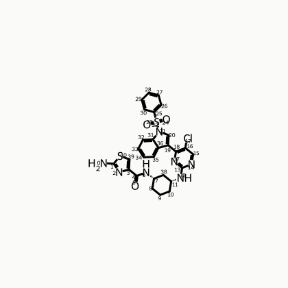 Nc1nc(C(=O)N[C@H]2CCC[C@@H](Nc3ncc(Cl)c(-c4cn(S(=O)(=O)c5ccccc5)c5ccccc45)n3)C2)cs1